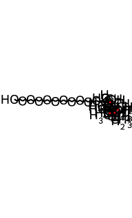 C[Si](C)(C)O[Si](C)(C)O[Si](O[SiH2]O)([Si](O[Si](C)(C)C)([SiH2]O)[SiH2]O)[Si](O[Si](C)(O)CCCOCCOCCOCCOCCOCCOCCOCCOCCOCCOCCO)([SiH2]O)[SiH2]O